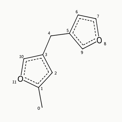 Cc1cc(Cc2ccoc2)co1